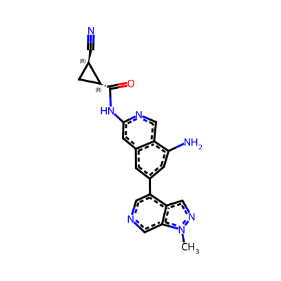 Cn1ncc2c(-c3cc(N)c4cnc(NC(=O)[C@@H]5C[C@H]5C#N)cc4c3)cncc21